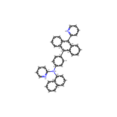 c1ccc(-c2c3ccccc3c(-c3ccc(N(c4ccccn4)c4cccc5ccccc45)cc3)c3ccccc23)nc1